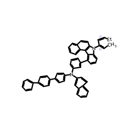 C/C=C(\C=C/CC)n1c2cccc(-c3cccc(N(c4ccc(-c5ccc(-c6ccccc6)cc5)cc4)c4ccc5ccccc5c4)c3)c2c2c3ccccc3ccc21